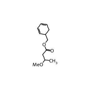 COC(C)CC(=O)OCC1C=CC=CC1